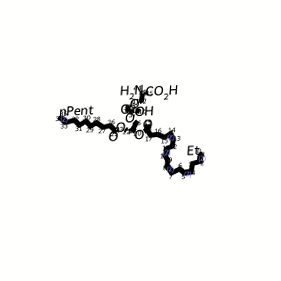 CC/C=C\C/C=C\C/C=C\C/C=C\C/C=C\CCCC(=O)O[C@H](COC(=O)CCCCCCC/C=C\CCCCC)COP(=O)(O)OC[C@H](N)C(=O)O